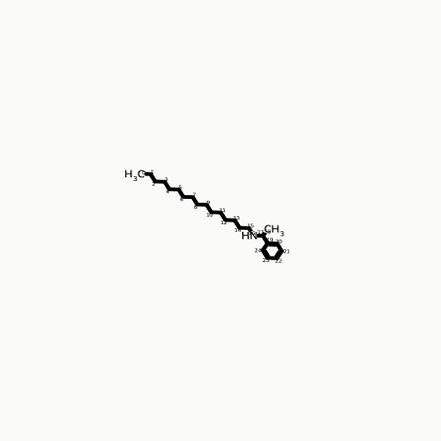 CCCCCCCCCCCCCCCCNC(C)c1ccccc1